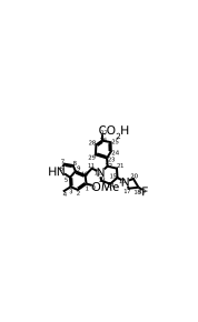 COc1cc(C)c2[nH]ccc2c1CN1CCC(N2CC(F)C2)CC1c1ccc(C(=O)O)cc1